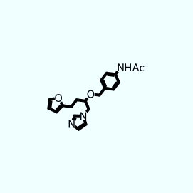 CC(=O)Nc1ccc(COC(CCc2ccco2)Cn2ccnc2)cc1